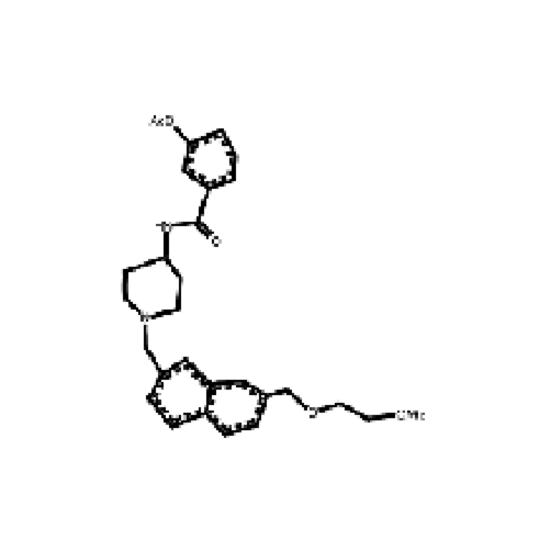 COCCOCc1ccc2ccc(CN3CCC(NC(=O)c4cccc(OC(C)=O)c4)CC3)cc2c1